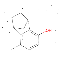 Cc1ccc(O)c2c1C1CCC2C1